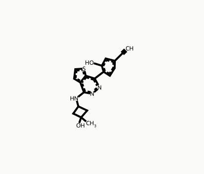 C#Cc1ccc(-c2nnc(NC3CC(C)(O)C3)c3ccsc23)c(O)c1